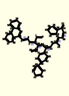 C=CC(=C\C=C\c1cc2ccccc2c2ccccc12)/C(N=C)=N/C(=C\C/C(C)=C/C=C\C(=C)c1ccccc1)c1ccc(-c2cccnc2)cc1